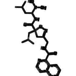 CC(C)CC(NC(=O)C1(CC(C)C)CC(CNC(=O)c2nccc3ccccc23)=NO1)B(O)O